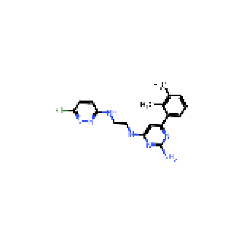 Cc1cccc(-c2cc(NCCNc3ccc(Cl)nn3)nc(N)n2)c1C